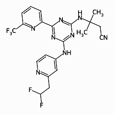 CC(C)(CC#N)Nc1nc(Nc2ccnc(CC(F)F)c2)nc(-c2cccc(C(F)(F)F)n2)n1